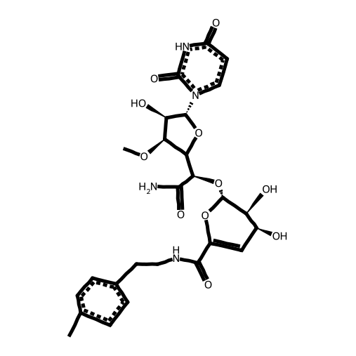 CO[C@@H]1C([C@@H](O[C@H]2OC(C(=O)NCCc3ccc(C)cc3)=C[C@H](O)[C@@H]2O)C(N)=O)O[C@@H](n2ccc(=O)[nH]c2=O)[C@@H]1O